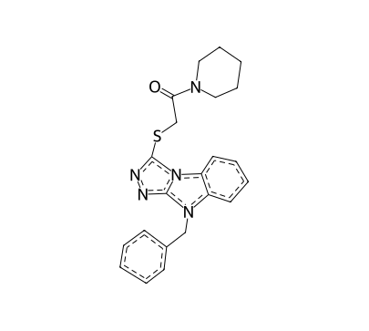 O=C(CSc1nnc2n(Cc3ccccc3)c3ccccc3n12)N1CCCCC1